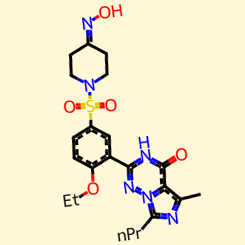 CCCc1nc(C)c2c(=O)[nH]c(-c3cc(S(=O)(=O)N4CCC(=NO)CC4)ccc3OCC)nn12